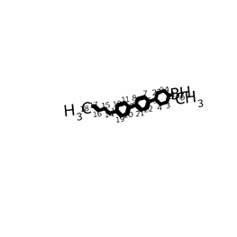 CBC1CCC(c2ccc(-c3ccc(CC/C=C/C)cc3)cc2)CC1